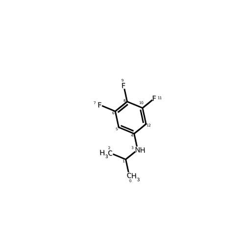 CC(C)Nc1cc(F)c(F)c(F)c1